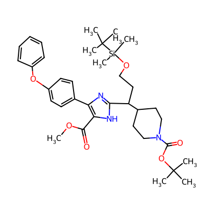 COC(=O)c1[nH]c(C(CCO[Si](C)(C)C(C)(C)C)C2CCN(C(=O)OC(C)(C)C)CC2)nc1-c1ccc(Oc2ccccc2)cc1